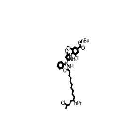 CCCCOC(=O)c1cc(Cl)c(-n2[nH]c(N(NC(=O)CCCCCCCCCC(CCC)CCC(C)Cl)c3ccccc3)cc2=O)c(Cl)c1